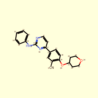 N#Cc1cc(-c2ccnc(Nc3ccccc3)n2)ccc1OC1CCOCC1